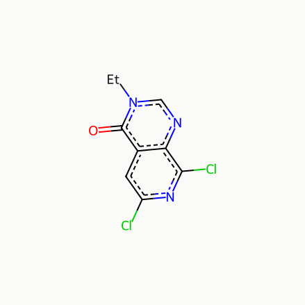 CCn1cnc2c(Cl)nc(Cl)cc2c1=O